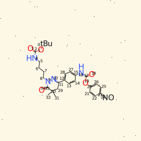 CC(C)(C)OC(=O)NCCCCN1N=C(c2ccc(NC(=O)Oc3ccc(N=O)cc3)cc2)CC(C)(C)C1=O